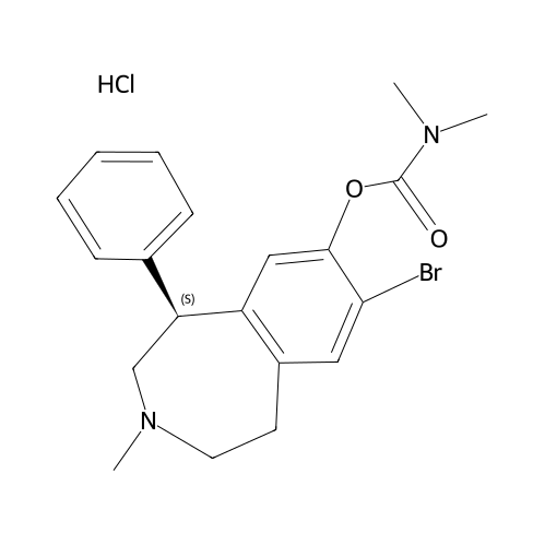 CN1CCc2cc(Br)c(OC(=O)N(C)C)cc2[C@H](c2ccccc2)C1.Cl